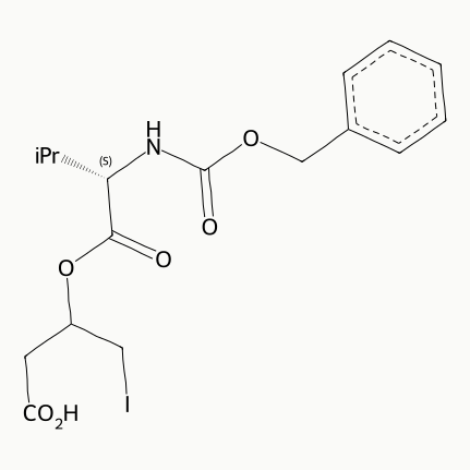 CC(C)[C@H](NC(=O)OCc1ccccc1)C(=O)OC(CI)CC(=O)O